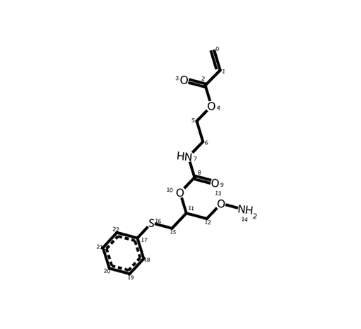 C=CC(=O)OCCNC(=O)OC(CON)CSc1ccccc1